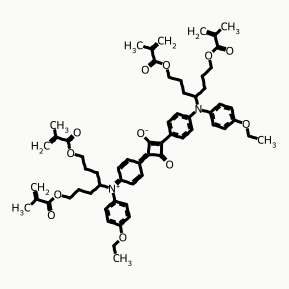 C=C(C)C(=O)OCCCC(CCCOC(=O)C(=C)C)N(c1ccc(OCC)cc1)c1ccc(C2=C([O-])C(=C3C=CC(=[N+](c4ccc(OCC)cc4)C(CCCOC(=O)C(=C)C)CCCOC(=O)C(=C)C)C=C3)C2=O)cc1